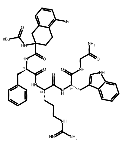 CCCCC(=O)NC1(C(=O)N[C@H](Cc2ccccc2)C(=O)N[C@@H](CCCNC(=N)N)C(=O)N[C@@H](Cc2c[nH]c3ccccc23)C(=O)NCC(N)=O)CCc2c(cccc2C(C)C)C1